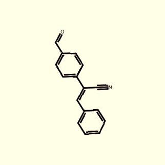 N#CC(=Cc1ccccc1)c1ccc(C=O)cc1